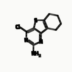 Nc1nc(Cl)c2sc3c(c2n1)CCCC3